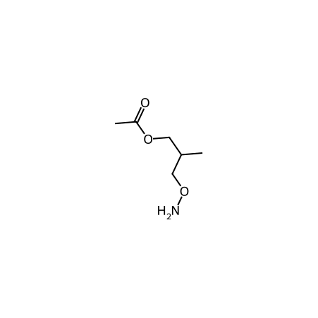 CC(=O)OCC(C)CON